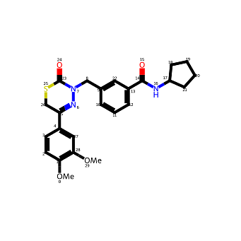 COc1ccc(C2=NN(Cc3cccc(C(=O)NC4CCCC4)c3)C(=O)SC2)cc1OC